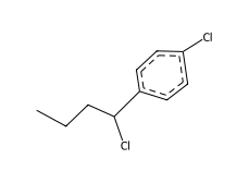 CCCC(Cl)c1ccc(Cl)cc1